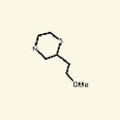 COCCC1C[N]CCS1